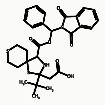 CC(C)(C)C1(CC(=O)O)NC(C(=O)OC(c2ccccc2)N2C(=O)c3ccccc3C2=O)C2(CCSCC2)S1